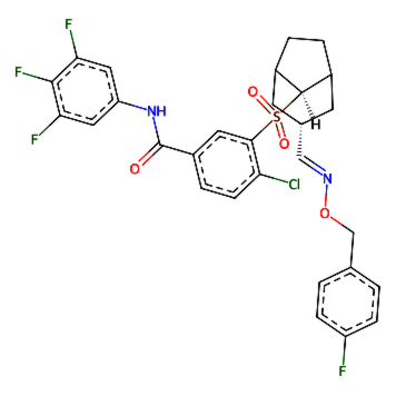 O=C(Nc1cc(F)c(F)c(F)c1)c1ccc(Cl)c(S(=O)(=O)[C@H]2C3CCC2C[C@H](/C=N/OCc2ccc(F)cc2)C3)c1